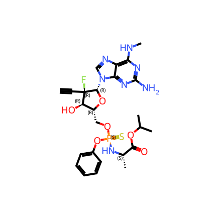 C#C[C@@]1(F)[C@H](O)[C@@H](CO[P@@](=S)(N[C@@H](C)C(=O)OC(C)C)Oc2ccccc2)O[C@H]1n1cnc2c(NC)nc(N)nc21